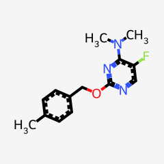 Cc1ccc(COc2ncc(F)c(N(C)C)n2)cc1